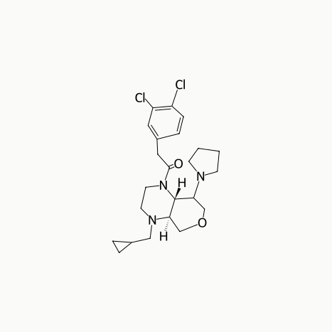 O=C(Cc1ccc(Cl)c(Cl)c1)N1CCN(CC2CC2)[C@@H]2COCC(N3CCCC3)[C@H]21